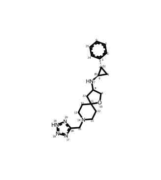 c1ccc([C@@H]2C[C@H]2NC2COC3(CCN(Cc4nn[nH]n4)CC3)C2)cc1